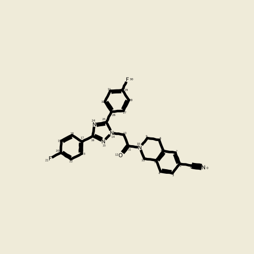 N#Cc1ccc2c(c1)CCN(C(=O)Cn1nc(-c3ccc(F)cc3)nc1-c1ccc(F)cc1)C2